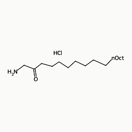 CCCCCCCCCCCCCCCCC(=O)CN.Cl